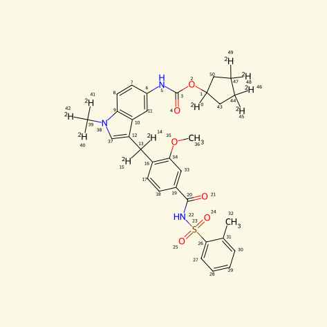 [2H]C1(OC(=O)Nc2ccc3c(c2)c(C([2H])([2H])c2ccc(C(=O)NS(=O)(=O)c4ccccc4C)cc2OC)cn3C([2H])([2H])[2H])CC([2H])([2H])C([2H])([2H])C1